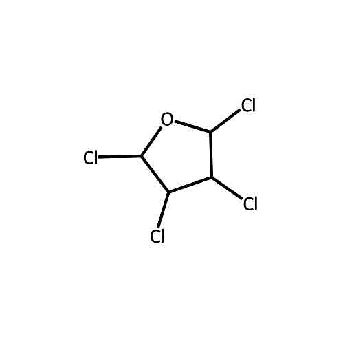 ClC1OC(Cl)C(Cl)C1Cl